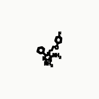 NC1=NC(c2ccccc2)N(CCCOc2ccc(F)cc2)C(N)=N1